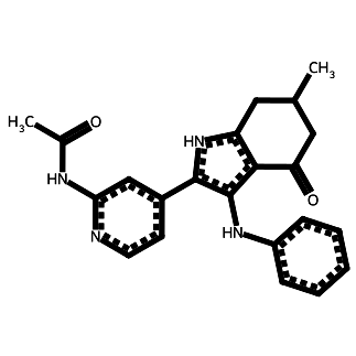 CC(=O)Nc1cc(-c2[nH]c3c(c2Nc2ccccc2)C(=O)CC(C)C3)ccn1